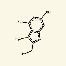 CC(C)Cc1cc2cc(C(C)(C)C)cc(C#N)c2n1C